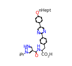 CCCCCCCOc1ccc(-c2cnc(-c3ccc(CC(NC(=O)/C(C=N)=C/NC(C)C)C(=O)O)cc3)nc2)cc1